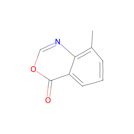 Cc1cccc2c(=O)ocnc12